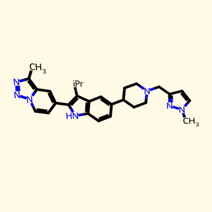 Cc1nnn2ccc(-c3[nH]c4ccc(C5CCN(Cc6ccn(C)n6)CC5)cc4c3C(C)C)cc12